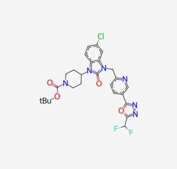 CC(C)(C)OC(=O)N1CCC(n2c(=O)n(Cc3ccc(-c4nnc(C(F)F)o4)cn3)c3cc(Cl)ccc32)CC1